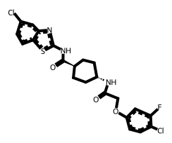 O=C(COc1ccc(Cl)c(F)c1)N[C@H]1CC[C@H](C(=O)Nc2nc3cc(Cl)ccc3s2)CC1